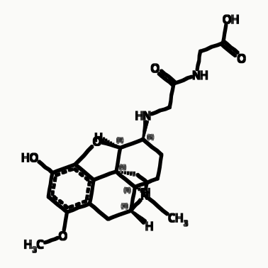 COc1cc(O)c2c3c1C[C@@H]1[C@@H]4CC[C@H](NCC(=O)NCC(=O)O)[C@H](O2)[C@]34CCN1C